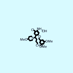 COc1cc(COc2cc(N)c(Cl)cc2C(CCCC=O)N2CCC(OC)CC2)cc(OC)c1.Cl